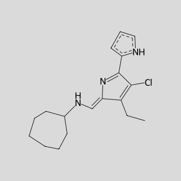 CCC1=C(Cl)C(c2ccc[nH]2)=NC1=CNC1CCCCCC1